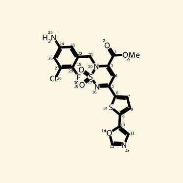 COC(=O)C1=CC(c2ccc(-c3cnco3)s2)=NS(=O)(=O)N1Cc1cc(N)cc(Cl)c1F